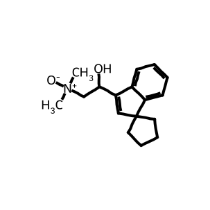 C[N+](C)([O-])CC(O)C1=CC2(CCCC2)c2ccccc21